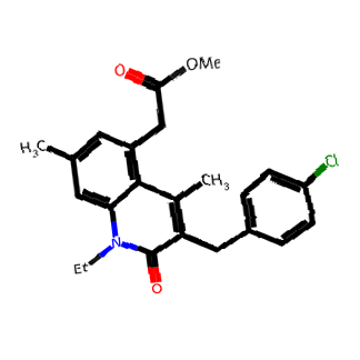 CCn1c(=O)c(Cc2ccc(Cl)cc2)c(C)c2c(CC(=O)OC)cc(C)cc21